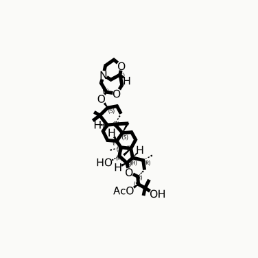 CC(=O)O[C@@H]([C@H]1C[C@@H](C)[C@H]2[C@H](O1)[C@H](O)[C@@]1(C)[C@@H]3CC[C@H]4C(C)(C)[C@@H](O[C@H]5CN6CCO[C@H](CO5)C6)CC[C@@]45C[C@@]35CC[C@]21C)C(C)(C)O